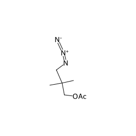 CC(=O)OCC(C)(C)CN=[N+]=[N-]